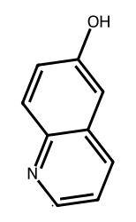 Oc1ccc2n[c]ccc2c1